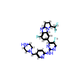 Fc1cnc(Nc2ccc(CN3CCNCC3)cn2)nc1-c1cc(F)c2nc3n(c2c1)C(C(F)F)CC3